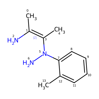 C/C(N)=C(\C)N(N)c1ccccc1C